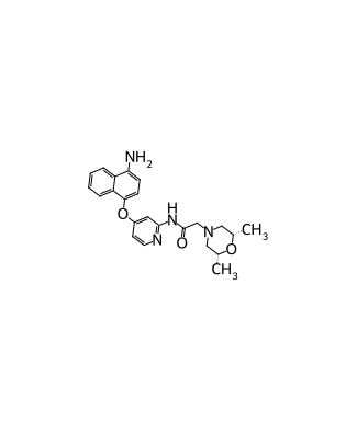 C[C@@H]1CN(CC(=O)Nc2cc(Oc3ccc(N)c4ccccc34)ccn2)C[C@H](C)O1